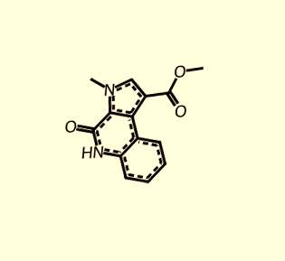 COC(=O)c1cn(C)c2c(=O)[nH]c3ccccc3c12